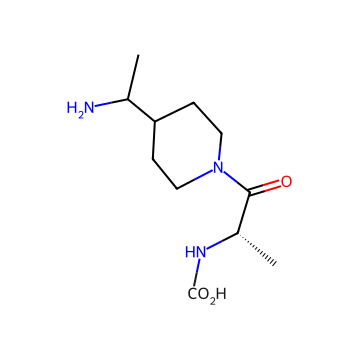 CC(N)C1CCN(C(=O)[C@H](C)NC(=O)O)CC1